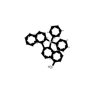 Cc1cccc2c3c(ccc12)-c1c(ccc2ccccc12)[Si]3(c1ccccc1)c1ccccc1